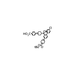 CC(C)(C)OC(=O)N1CCN(c2ccc(-c3ccc(Cl)cc3)c([C@@H](O)C3CCN(c4ccc(C(=O)O)cc4)CC3)c2)CC1